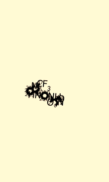 Cc1nocc1C(=O)NC1CCC(Nc2cc(C(F)(F)F)nc3ccccc23)CC1